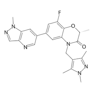 Cc1nn(C)c(C)c1CN1C(=O)[C@@H](C)Oc2c(F)cc(-c3cnc4cnn(C)c4c3)cc21